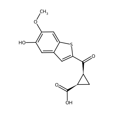 COc1cc2sc(C(=O)[C@H]3C[C@H]3C(=O)O)cc2cc1O